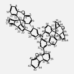 c1ccc2c(c1)Oc1ccccc1C21c2ccccc2-c2ccc(-c3ccc(N(c4ccc(-c5cccc6c5oc5ccccc56)cc4)c4cccc5c4-c4ccccc4C54c5ccccc5Oc5ccccc54)cc3)cc21